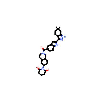 CC1(C)CCc2c(-c3cc4cc(C(=O)N5CCc6cc(N7C(=O)CCCC7=O)ccc6C5)ccc4[nH]3)n[nH]c2C1